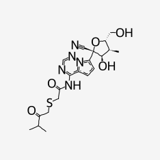 CC(C)C(=O)CSCC(=O)Nc1ncnn2c([C@]3(C#N)O[C@H](CO)[C@@H](C)[C@H]3O)ccc12